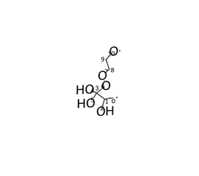 [CH2]C(O)C(O)(O)OOCC[O]